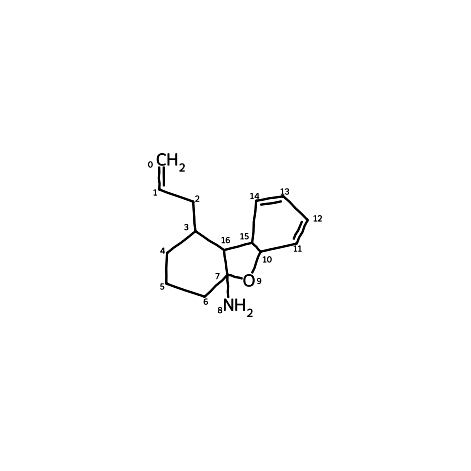 C=CCC1CCCC2(N)OC3C=CC=CC3C12